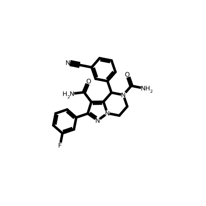 N#Cc1cccc(C2c3c(C(N)=O)c(-c4cccc(F)c4)nn3CCN2C(N)=O)c1